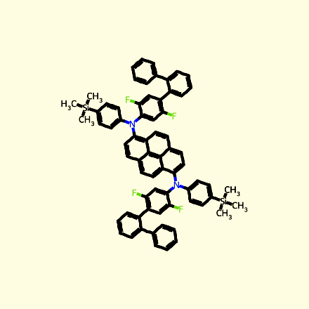 C[Si](C)(C)c1ccc(N(c2cc(F)c(-c3ccccc3-c3ccccc3)cc2F)c2ccc3ccc4c(N(c5ccc([Si](C)(C)C)cc5)c5cc(F)c(-c6ccccc6-c6ccccc6)cc5F)ccc5ccc2c3c54)cc1